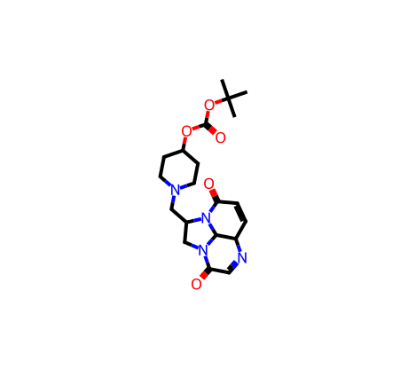 CC(C)(C)OC(=O)OC1CCN(CC2CN3C(=O)C=NC4C=CC(=O)N2C43)CC1